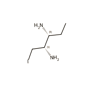 CC[C@@H](N)[C@H](N)CI